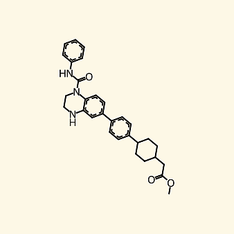 COC(=O)CC1CCC(c2ccc(-c3ccc4c(c3)NCCN4C(=O)Nc3ccccc3)cc2)CC1